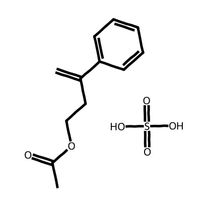 C=C(CCOC(C)=O)c1ccccc1.O=S(=O)(O)O